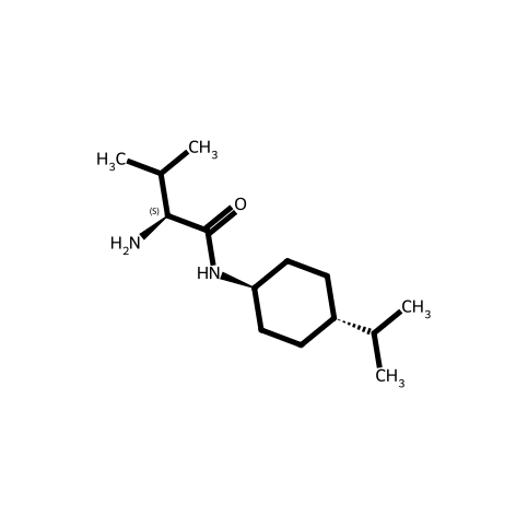 CC(C)[C@H](N)C(=O)N[C@H]1CC[C@H](C(C)C)CC1